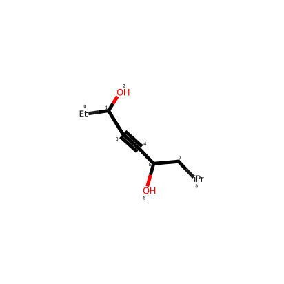 CCC(O)C#CC(O)CC(C)C